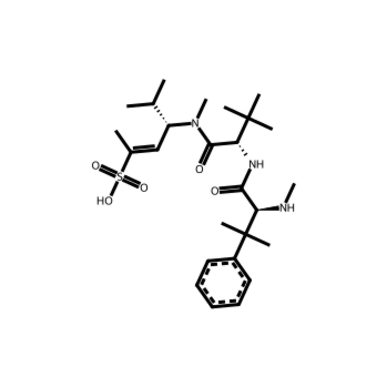 CN[C@H](C(=O)N[C@H](C(=O)N(C)[C@H](/C=C(\C)S(=O)(=O)O)C(C)C)C(C)(C)C)C(C)(C)c1ccccc1